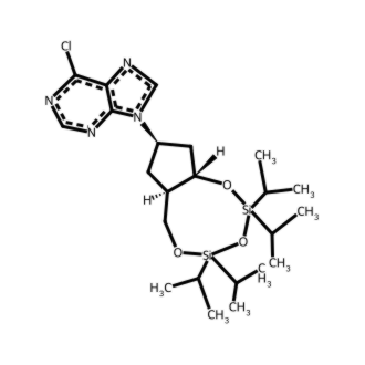 CC(C)[Si]1(C(C)C)OC[C@H]2C[C@@H](n3cnc4c(Cl)ncnc43)C[C@@H]2O[Si](C(C)C)(C(C)C)O1